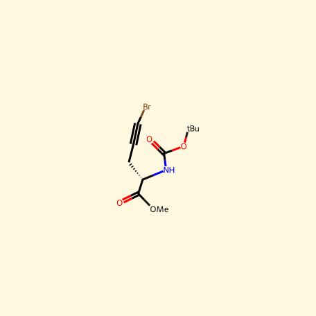 COC(=O)[C@H](CC#CBr)NC(=O)OC(C)(C)C